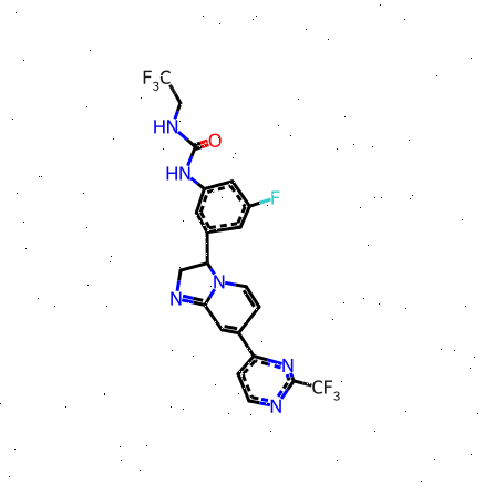 O=C(NCC(F)(F)F)Nc1cc(F)cc(C2CN=C3C=C(c4ccnc(C(F)(F)F)n4)C=CN32)c1